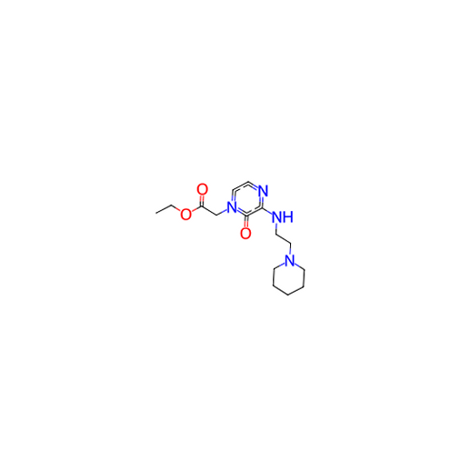 CCOC(=O)Cn1ccnc(NCCN2CCCCC2)c1=O